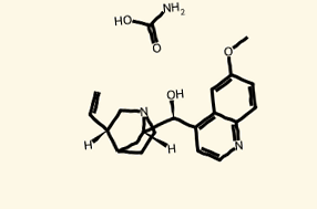 C=C[C@@H]1CN2CCC1C[C@H]2[C@@H](O)c1ccnc2ccc(OC)cc12.NC(=O)O